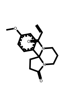 C=CC(=O)N1CCCN2C(=O)CCC12c1ccc(OC)cc1